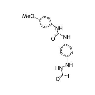 COc1ccc(NC(=O)Nc2ccc(NNC(=O)I)cc2)cc1